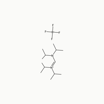 CC(C)N(C=[N+](C(C)C)C(C)C)C(C)C.F[B-](F)(F)F